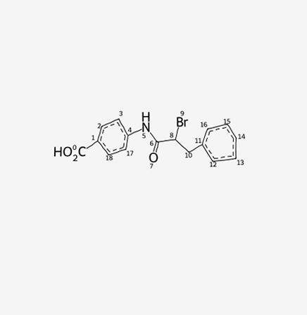 O=C(O)c1ccc(NC(=O)C(Br)Cc2ccccc2)cc1